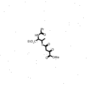 CCOC(=O)C(NC(=O)C(C)C)C(C)SC(=O)CC(=O)C(=O)OC